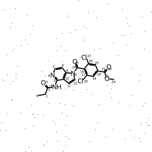 CCC(=O)Nc1nccc2c1ccn2C(=O)c1c(Cl)cc(C(=O)OC)cc1Cl